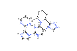 CCC1c2nncn2-c2cnc(-n3ccnc3-c3ncccn3)nc2N1C(C)C